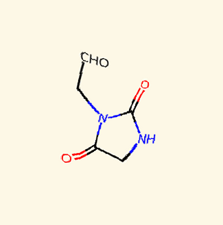 O=CCN1C(=O)CNC1=O